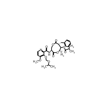 COc1ccnc(C(=O)N[C@H]2COC(=O)[C@H](Cc3ccccc3)C(OC(=O)C(C)C)[C@H](C)OC2=O)c1OCOC(C)C